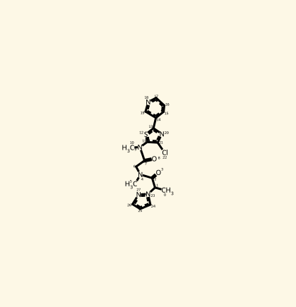 CC(C(=O)N(C)CC(=O)N(C)c1sc(-c2cccnc2)nc1Cl)n1cccn1